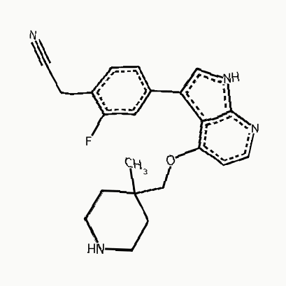 CC1(COc2ccnc3[nH]cc(-c4ccc(CC#N)c(F)c4)c23)CCNCC1